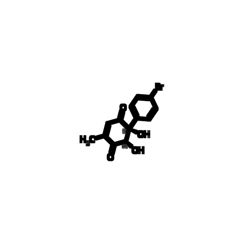 CC1=CC(=O)[C@](O)(c2ccc(Br)cc2)[C@@H](O)C1=O